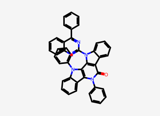 O=c1c2c3ccccc3n(-c3nc(-c4ccccc4)c4ccccc4n3)c2c2c(c3ccccc3n2-c2ccccc2)n1-c1ccccc1